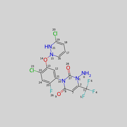 Nn1c(C(F)(F)F)cc(=O)n(-c2cc(ON3C=CC=C(Cl)N3)c(Cl)cc2F)c1=O